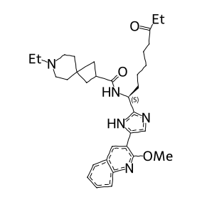 CCC(=O)CCCCC[C@H](NC(=O)C1CC2(CCN(CC)CC2)C1)c1ncc(-c2cc3ccccc3nc2OC)[nH]1